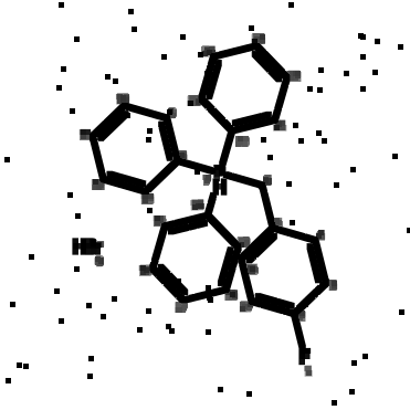 Br.Fc1ccc(C[PH](c2ccccc2)(c2ccccc2)c2ccccc2)cc1